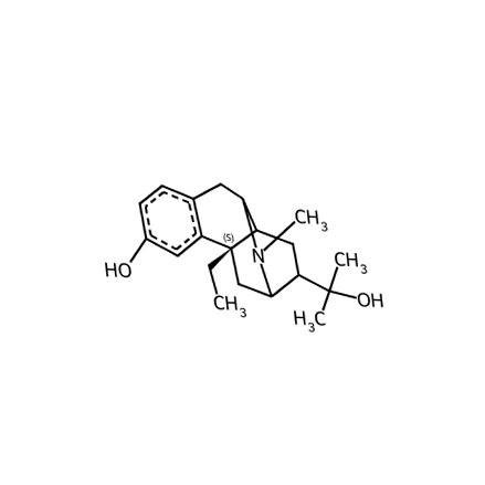 CC[C@]12CC3C(C(C)(C)O)CC1C(Cc1ccc(O)cc12)N3C